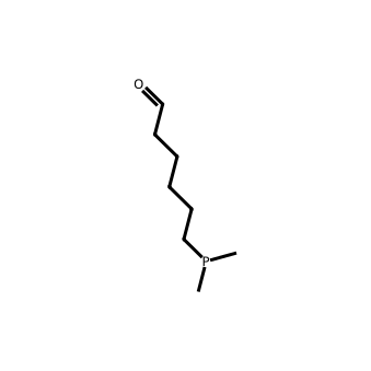 CP(C)CCCCCC=O